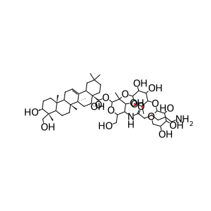 CC1OC(OC2(C)C(OC(=O)[C@]34CCC(C)(C)CC3C3=CCC5[C@@]6(C)CC[C@H](O)[C@@](C)(CO)C6CC[C@@]5(C)[C@]3(C)C[C@H]4O)OC(CO)C(NC(=O)CCCCCN)C2O)C(O)C(O)C1OC1OCC(O)C(O)C1O